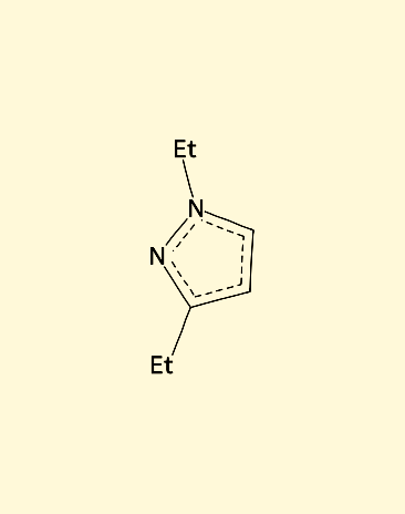 CCc1ccn(CC)n1